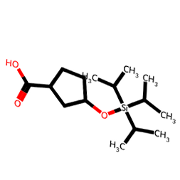 CC(C)[Si](OC1CCC(C(=O)O)C1)(C(C)C)C(C)C